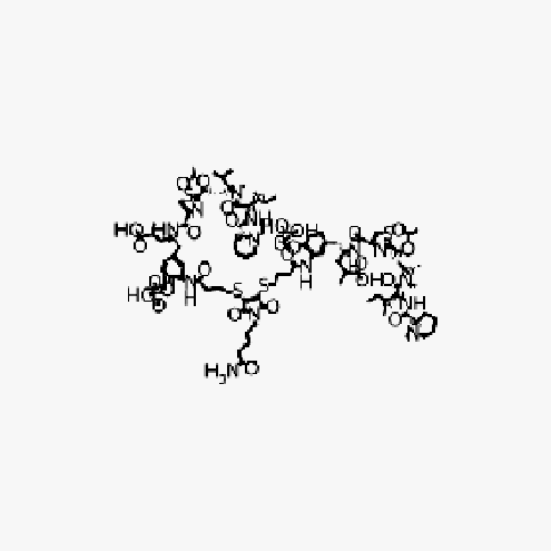 CC[C@H](C)[C@H](NC(=O)[C@H]1CCCCN1C)C(=O)N(C)[C@H](C[C@@H](OC(C)=O)c1nc(C(=O)N[C@@H](Cc2ccc(OP(=O)(O)O)c(NC(=O)CCCSC3=C(SCCCC(=O)Nc4cc(C[C@@H](CC(C)C(=O)O)NC(=O)c5csc([C@@H](C[C@H](C)N(C)C(=O)[C@@H](NC(=O)[C@H]6CCCCN6C)[C@@H](C)CC)OC(C)=O)n5)ccc4OP(=O)(O)O)C(=O)N(CCCCC(N)=O)C3=O)c2)CC(C)C(=O)O)cs1)C(C)C